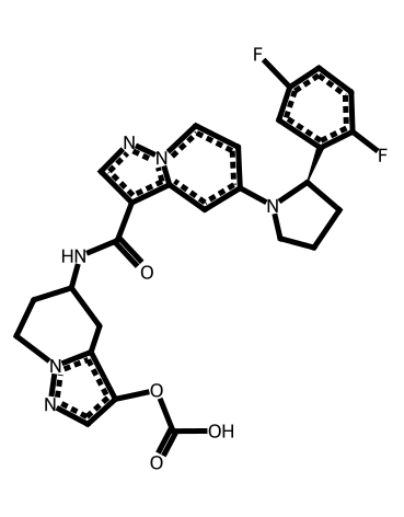 O=C(O)Oc1cnn2c1CC(NC(=O)c1cnn3ccc(N4CCC[C@@H]4c4cc(F)ccc4F)cc13)CC2